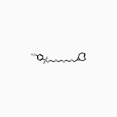 Cc1ccc(S(=O)(=O)OCCOCCOCCOCC2C3CC/C=C/CCC32)cc1